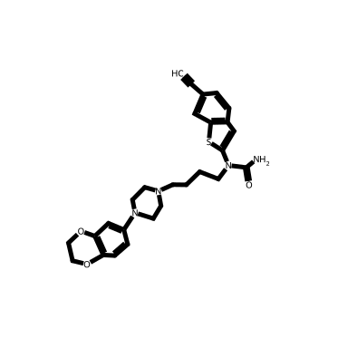 C#Cc1ccc2cc(N(CCCCN3CCN(c4ccc5c(c4)OCCO5)CC3)C(N)=O)sc2c1